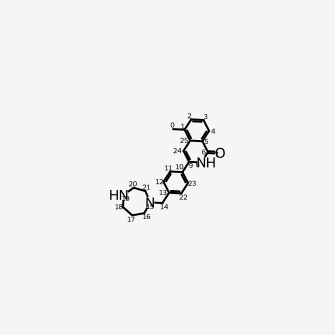 Cc1cccc2c(=O)[nH]c(-c3ccc(CN4CCCNCC4)cc3)cc12